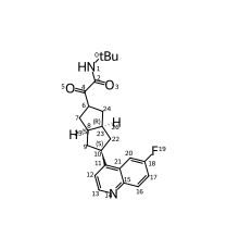 CC(C)(C)NC(=O)C(=O)C1C[C@@H]2C[C@H](c3ccnc4ccc(F)cc34)C[C@@H]2C1